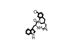 CN(C)C[C@@H]1Cc2ccc(Cl)cc2N(C(=O)[C@H](N)Cc2c[nH]c3ccccc23)C1